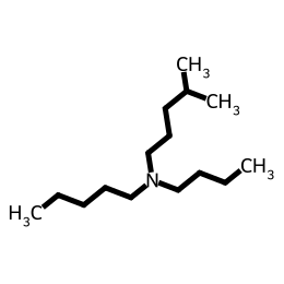 CCCCCN(CCCC)CCCC(C)C